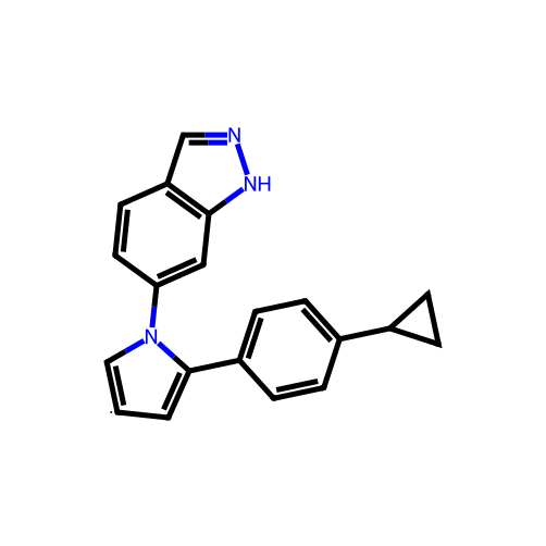 [c]1cc(-c2ccc(C3CC3)cc2)n(-c2ccc3cn[nH]c3c2)c1